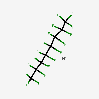 FC(F)(F)C(F)(F)C(F)(F)C(F)(F)C(F)(F)C(F)(F)C(F)(F)C(F)(F)F.[H+]